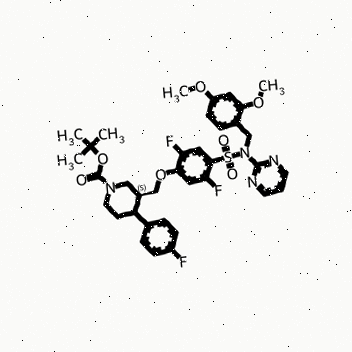 COc1ccc(CN(c2ncccn2)S(=O)(=O)c2cc(F)c(OC[C@@H]3CN(C(=O)OC(C)(C)C)CCC3c3ccc(F)cc3)cc2F)c(OC)c1